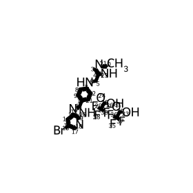 Cc1ncc(CNc2ccc(-c3nc4cc(Br)cnc4[nH]3)cc2)[nH]1.O=C(O)C(F)(F)F.O=C(O)C(F)(F)F